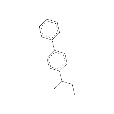 CCC(C)c1ccc(-c2ccccc2)cc1